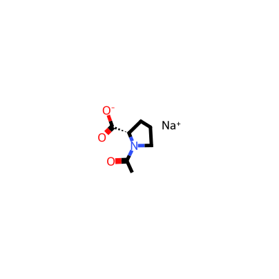 CC(=O)N1CCC[C@H]1C(=O)[O-].[Na+]